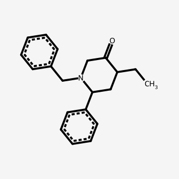 CCC1CC(c2ccccc2)N(Cc2ccccc2)CC1=O